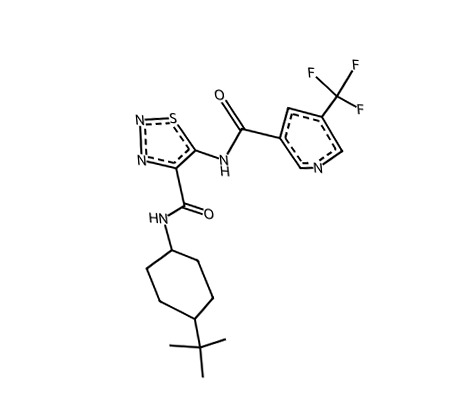 CC(C)(C)C1CCC(NC(=O)c2nnsc2NC(=O)c2cncc(C(F)(F)F)c2)CC1